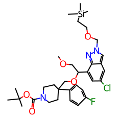 COCC(OCC1(c2ccc(F)cc2)CCN(C(=O)OC(C)(C)C)CC1)c1cc(Cl)cc2cn(COCC[Si](C)(C)C)nc12